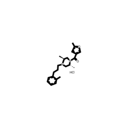 Cc1cc(C(=O)N2C[C@H](C)N(CCCc3ccccc3C)C[C@H]2C)co1.Cl